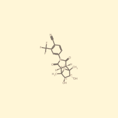 CC12OC(C)([C@H](O)[C@H]1O)[C@H]1C(=O)N(c3ccc(C#N)c(C(F)(F)F)c3)C(=O)[C@H]12